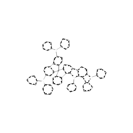 c1ccc(N(c2ccccc2)c2ccc3c(c2)-c2ccc(N(c4ccccc4)c4ccccc4)cc2C32c3ccccc3-c3c2ccc2c4ccc5c(c6ccccc6n5-c5ccccc5)c4n(-c4ccccc4)c32)cc1